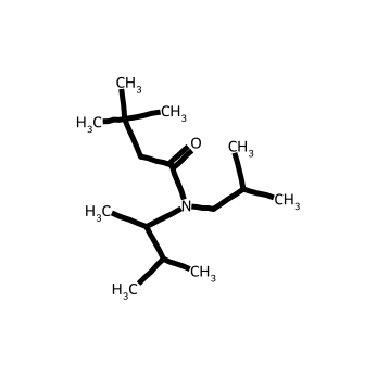 CC(C)CN(C(=O)CC(C)(C)C)C(C)C(C)C